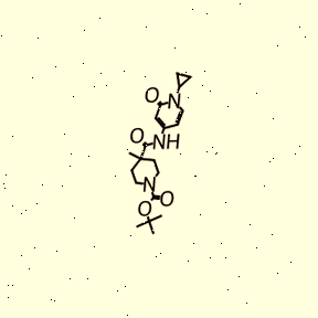 CC(C)(C)OC(=O)N1CCC(C)(C(=O)Nc2ccn(C3CC3)c(=O)c2)CC1